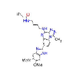 CNc1cc2nc(-c3ccc4c(c3)nc(NCCCCNC(=O)CC(C)C)c3nnc(C)n34)[nH]c2cc1OC